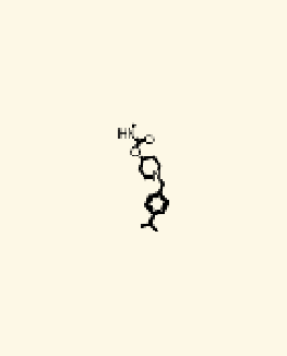 CNC(=O)OC1CCN(Cc2ccc(C(C)C)cc2)CC1